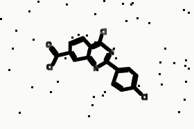 O=C(Cl)c1ccc2c(Cl)nc(-c3ccc(Cl)cc3)nc2c1